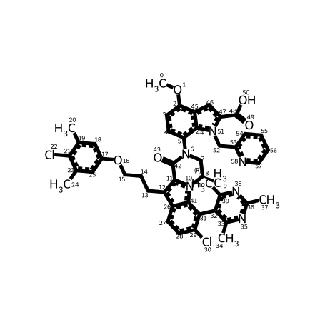 COc1ccc(N2C[C@@H](C)n3c(c(CCCOc4cc(C)c(Cl)c(C)c4)c4ccc(Cl)c(-c5c(C)nc(C)nc5C)c43)C2=O)c2c1cc(C(=O)O)n2Cc1ccccn1